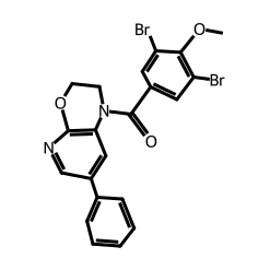 COc1c(Br)cc(C(=O)N2CCOc3ncc(-c4ccccc4)cc32)cc1Br